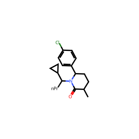 CCCC(C1CC1)N1C(=O)C(C)CCC1c1ccc(Cl)cc1